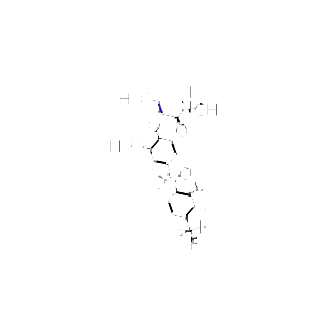 C/C=C(\Oc1ccc(S(=O)(=O)c2ccc(C(F)(F)F)cc2Cl)cc1C)C(=O)NC